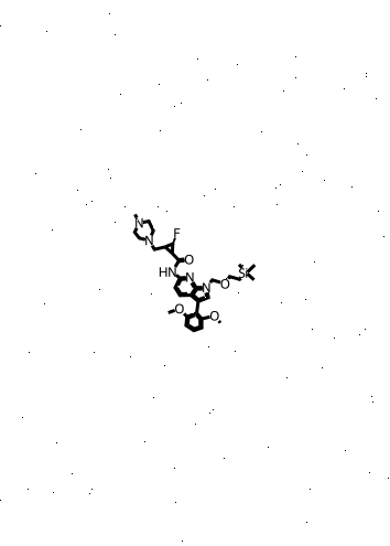 COc1cccc(OC)c1-c1cn(COCC[Si](C)(C)C)c2nc(NC(=O)C3C(CN4CCN(C)CC4)[C@H]3F)ccc12